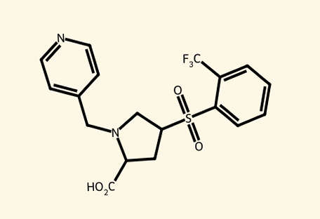 O=C(O)C1CC(S(=O)(=O)c2ccccc2C(F)(F)F)CN1Cc1ccncc1